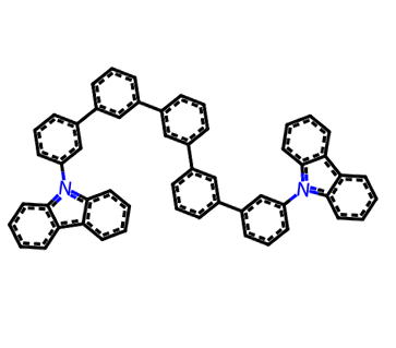 c1cc(-c2cccc(-c3cccc(-n4c5ccccc5c5ccccc54)c3)c2)cc(-c2cccc(-c3cccc(-n4c5ccccc5c5ccccc54)c3)c2)c1